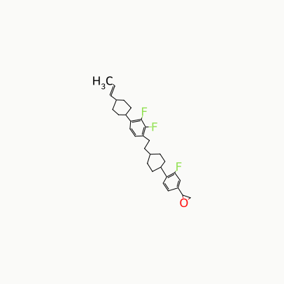 C/C=C/C1CCC(c2ccc(CCC3CCC(c4ccc(C5CO5)cc4F)CC3)c(F)c2F)CC1